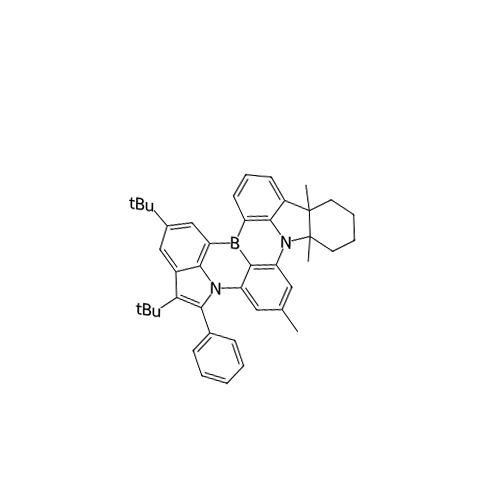 Cc1cc2c3c(c1)-n1c(-c4ccccc4)c(C(C)(C)C)c4cc(C(C)(C)C)cc(c41)B3c1cccc3c1N2C1(C)CCCCC31C